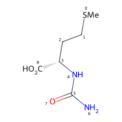 CSCC[C@H](NC(N)=O)C(=O)O